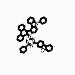 c1ccc(-c2nc(-c3ccc4c(c3)oc3ccccc34)nc(-n3c4ccc5c(c6ccccc6n5-c5ccccc5)c4c4c5ccccc5c5ccccc5c43)n2)cc1